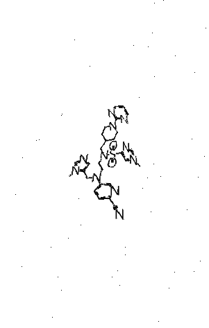 Cn1cnc(S(=O)(=O)N(CCN(Cc2cncn2C)c2ccc(C#N)nc2)CC2CCN(c3ncccn3)CC2)c1